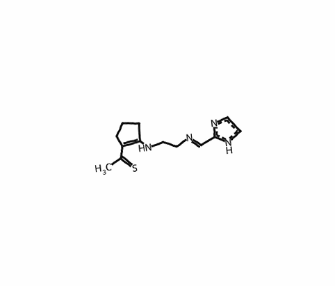 CC(=S)C1=C(NCC/N=C/c2ncc[nH]2)CCC1